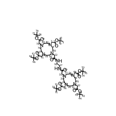 CC(C)(C)OC(=O)CN1CCN(CC(=O)NCCNC(=O)CN2CCN(CC(=O)OC(C)(C)C)CCN(CC(=O)OC(C)(C)C)CCN(CC(=O)OC(C)(C)C)CC2)CCN(CC(=O)OC(C)(C)C)CCN(CC(=O)OC(C)(C)C)CC1